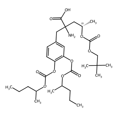 CCCC(C)OC(=O)Oc1ccc(CC(N)(C[C@H](C)OC(=O)OCC(C)(C)C)C(=O)O)cc1OC(=O)OC(C)CCC